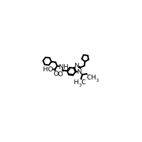 CCC(CC)n1c(CC2CCCC2)nc2cc(C(=O)NC(CC3CCCCC3)C(=O)O)ccc21